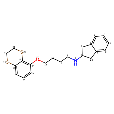 c1ccc2c(c1)CC(NCCCCOc1cccc3c1SCCS3)C2